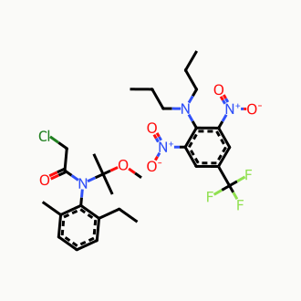 CCCN(CCC)c1c([N+](=O)[O-])cc(C(F)(F)F)cc1[N+](=O)[O-].CCc1cccc(C)c1N(C(=O)CCl)C(C)(C)OC